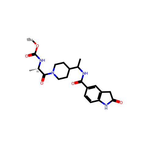 CC(NC(=O)c1ccc2c(c1)CC(=O)N2)C1CCN(C(=O)[C@H](C)NC(=O)OC(C)(C)C)CC1